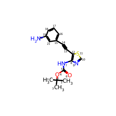 CC(C)(C)OC(=O)Nc1ncsc1C#Cc1cccc(N)c1